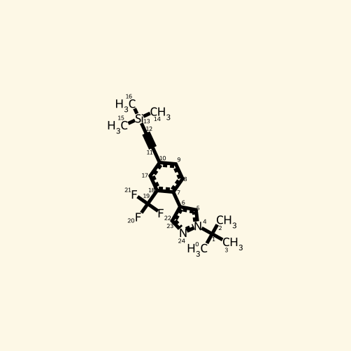 CC(C)(C)n1cc(-c2ccc(C#C[Si](C)(C)C)cc2C(F)(F)F)cn1